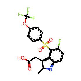 CC1N=c2ccc(F)c(S(=O)(=O)c3ccc(OC(F)(F)F)cc3)c2=C1CC(=O)O